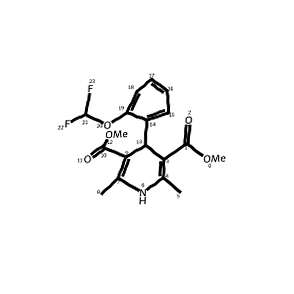 COC(=O)C1=C(C)NC(C)=C(C(=O)OC)C1c1ccccc1OC(F)F